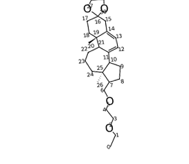 CCOCCOCC1CCC2C3=CC=C4CC5(CC[C@@]4(C)C3CCC[C@]12C)OCCO5